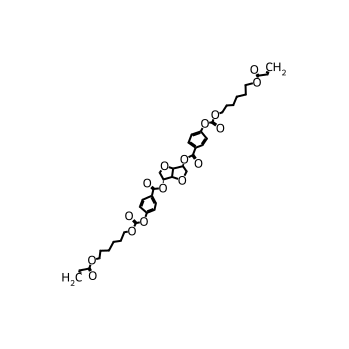 C=CC(=O)OCCCCCCOC(=O)Oc1ccc(C(=O)O[C@H]2COC3C2OC[C@H]3OC(=O)c2ccc(OC(=O)OCCCCCCOC(=O)C=C)cc2)cc1